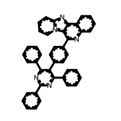 c1ccc(-c2nc(-c3ccccc3)c(-c3ccc(-c4nc5ccccc5c5nc6ccccn6c45)cc3)c(-c3ccccc3)n2)cc1